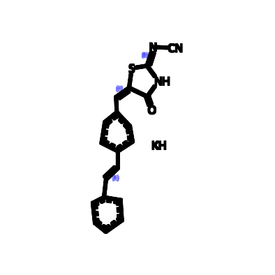 N#C/N=C1\NC(=O)/C(=C\c2ccc(/C=C/c3ccccc3)cc2)S1.[KH]